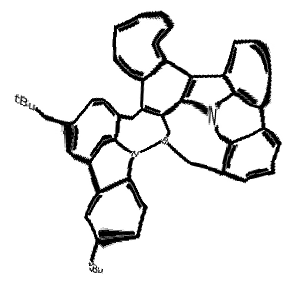 CC(C)(C)c1ccc2c(c1)c1cc(C(C)(C)C)cc3c1n2B1c2cccc4c5cccc6c7c8ccccc8c-3c1c7n(c24)c56